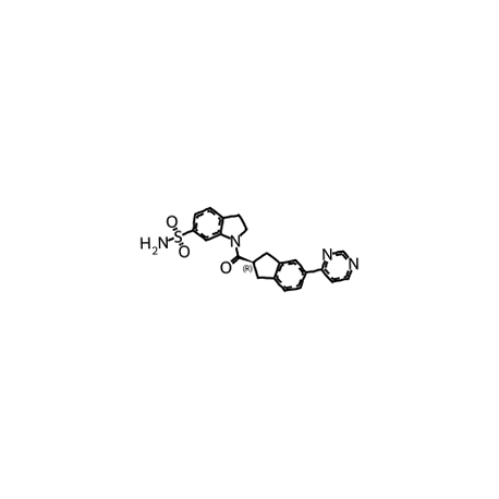 NS(=O)(=O)c1ccc2c(c1)N(C(=O)[C@@H]1Cc3ccc(-c4ccncn4)cc3C1)CC2